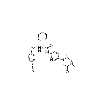 CC1CN(C)C(=O)CN1c1ccc(NC(=O)[C@H](NC[C@@H](C)c2ccc(C#N)cc2)c2ccccc2)nc1